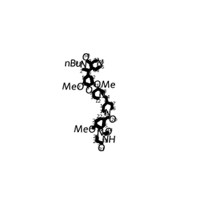 CCCCn1cc(-c2cc(OC)c(OC3CCN(CC4CCN(C(=O)c5ccc(OC)c(-n6ccc(=O)[nH]c6=O)c5)CC4)CC3)c(OC)c2)c2ccncc2c1=O